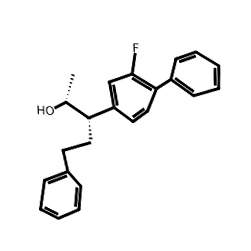 C[C@@H](O)[C@@H](CCc1ccccc1)c1ccc(-c2ccccc2)c(F)c1